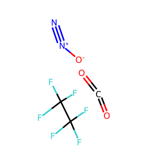 FC(F)(F)C(F)(F)F.N#[N+][O-].O=C=O